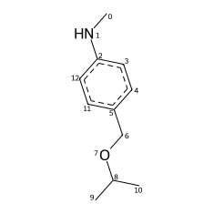 CNc1ccc(COC(C)C)cc1